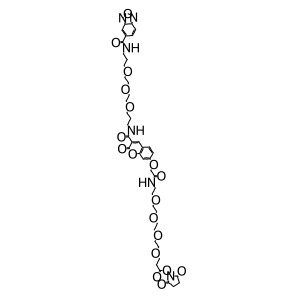 O=C(COc1ccc2cc(C(=O)NCCCOCCOCCOCCCNC(=O)c3ccc4nonc4c3)c(=O)oc2c1)NCCOCCOCCOCCOCCC(=O)ON1C(=O)CCC1=O